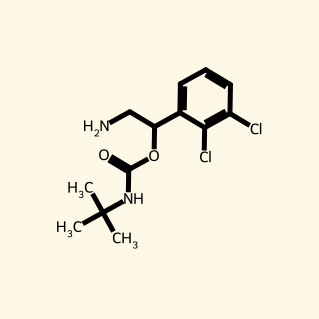 CC(C)(C)NC(=O)OC(CN)c1cccc(Cl)c1Cl